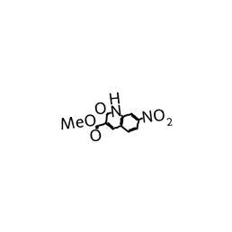 COC(=O)c1cc2ccc([N+](=O)[O-])cc2[nH]c1=O